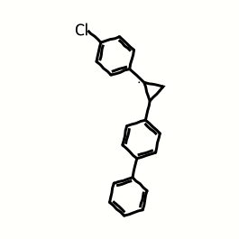 Clc1ccc([C]2CC2c2ccc(-c3ccccc3)cc2)cc1